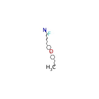 CCCC[C@H]1CC[C@H](CO[C@H]2CC[C@H](CCC=CC=C(F)C#N)CC2)CC1